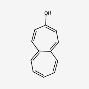 OC1=CC=C2C=CC=CC=C2C=C1